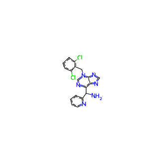 NC(c1ccccn1)c1ncn(Cc2c(Cl)cccc2Cl)c2ncnc1-2